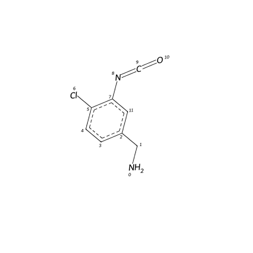 NCc1ccc(Cl)c(N=C=O)c1